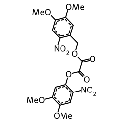 COc1cc(COC(=O)C(=O)Oc2cc(OC)c(OC)cc2[N+](=O)[O-])c([N+](=O)[O-])cc1OC